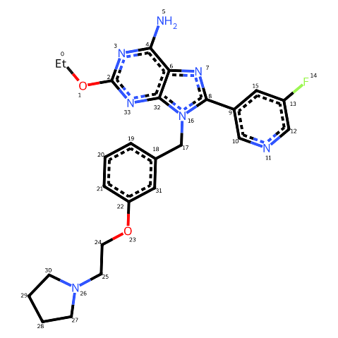 CCOc1nc(N)c2nc(-c3cncc(F)c3)n(Cc3cccc(OCCN4CCCC4)c3)c2n1